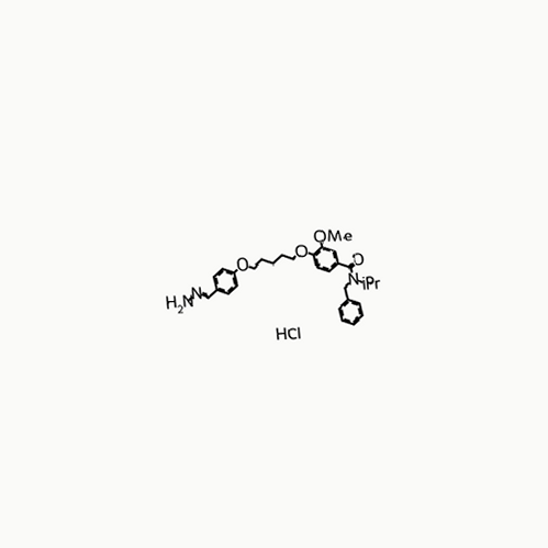 COc1cc(C(=O)N(Cc2ccccc2)C(C)C)ccc1OCCCCCOc1ccc(C=NN)cc1.Cl